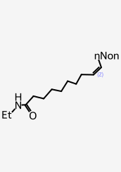 CCCCCCCCC/C=C\CCCCCCCC(=O)NCC